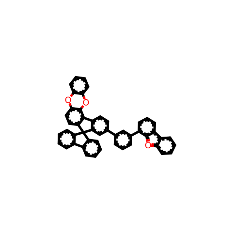 c1cc(-c2ccc3c(c2)C2(c4ccccc4-c4ccccc42)c2ccc4c(c2-3)Oc2ccccc2O4)cc(-c2cccc3c2oc2ccccc23)c1